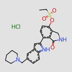 CCS(=O)(=O)Oc1ccc(-c2cc3cc(CN4CCCCC4)ccc3[nH]2)c2c1CNC2=O.Cl